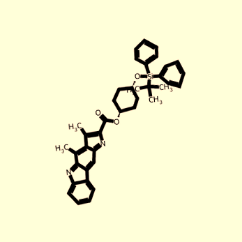 CC1=C(C(=O)O[C@H]2CC[C@@H](O[Si](c3ccccc3)(c3ccccc3)C(C)(C)C)CC2)N=c2cc3c(c(C)c21)=Nc1ccccc1-3